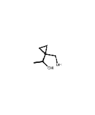 CC(O)C1(CO)CC1